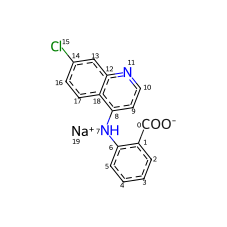 O=C([O-])c1ccccc1Nc1ccnc2cc(Cl)ccc12.[Na+]